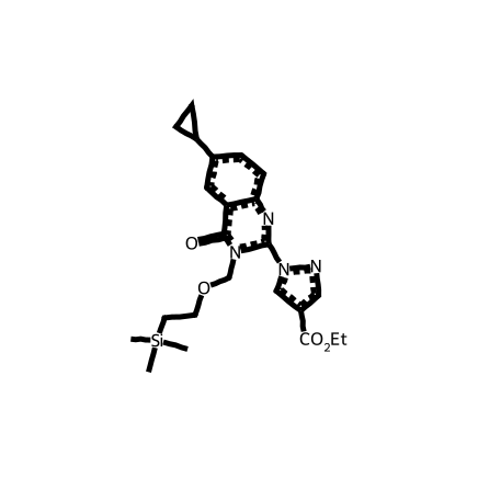 CCOC(=O)c1cnn(-c2nc3ccc(C4CC4)cc3c(=O)n2COCC[Si](C)(C)C)c1